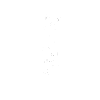 O=C(CC=CS(=O)(=O)O)NNC(=S)S